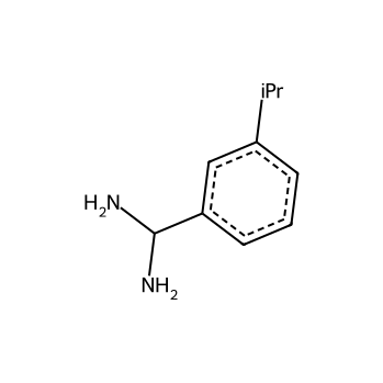 CC(C)c1cccc(C(N)N)c1